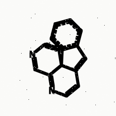 C1=CC2=Cc3ccccc3C23C(=N1)C=Nc1ccccc13